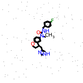 CCN(C(=O)NCc1ccc(F)cc1)c1ccc2c(c1)C(Cc1c[nH]cn1)CCO2